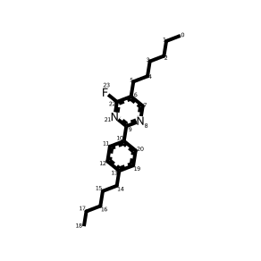 CCCCCCc1cnc(-c2ccc(CCCCC)cc2)nc1F